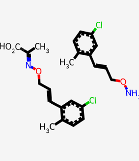 CC(=NOCC=Cc1cc(Cl)ccc1C)C(=O)O.Cc1ccc(Cl)cc1C=CCON